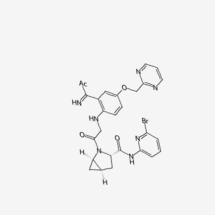 CC(=O)C(=N)c1cc(OCc2ncccn2)ccc1NCC(=O)N1[C@@H]2C[C@@H]2C[C@H]1C(=O)Nc1cccc(Br)n1